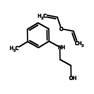 C=COC=C.Cc1cccc(NCCO)c1